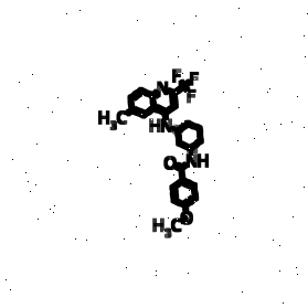 COc1ccc(C(=O)N[C@@H]2CCC[C@H](Nc3cc(C(F)(F)F)nc4ccc(C)cc34)C2)cc1